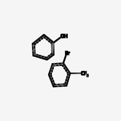 FC(F)(F)c1ccccc1Br.Oc1ccccc1